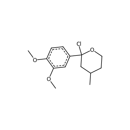 COc1ccc(C2(Cl)CC(C)CCO2)cc1OC